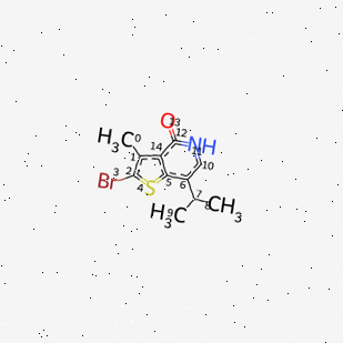 Cc1c(Br)sc2c(C(C)C)c[nH]c(=O)c12